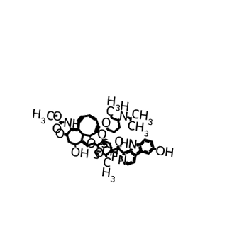 COC(=O)NC1=C2C#C/C=C\C#C[C@H](OC3OC(C)C(F)(C(=O)c4nccc5c4[nH]c4ccc(O)cc45)CC3OC3CCC(NC(C)C)C(C)O3)C2/C(=C\CS(C)(=S)=S)[C@@H](O)CC1=O